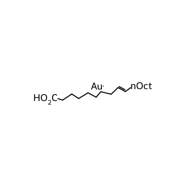 CCCCCCCCC=CCCCCCCCC(=O)O.[Au]